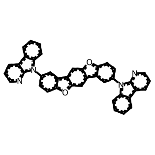 c1ccc2c(c1)c1cccnc1n2-c1ccc2oc3cc4c(cc3c2c1)oc1ccc(-n2c3ccccc3c3cccnc32)cc14